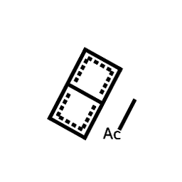 CC(C)=O.c1cc2ccc1-2